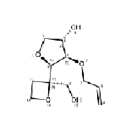 C=CCO[C@@H]1[C@@H](O)CO[C@@H]1[C@]1(CO)CCO1